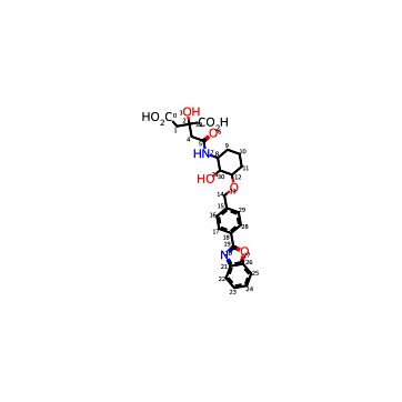 O=C(O)CC(O)(CC(=O)NC1CCCC(OCc2ccc(-c3nc4ccccc4o3)cc2)C1O)C(=O)O